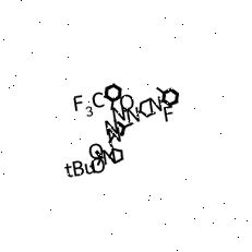 Cc1cccc(F)c1N1CCC(N2Cc3cn(CC4CCCN4C(=O)OC(C)(C)C)nc3N(Cc3ccccc3C(F)(F)F)C2=O)CC1